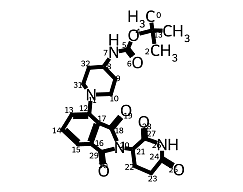 CC(C)(C)OC(=O)NC1CCN(c2cccc3c2C(=O)N(C2CCC(=O)NC2=O)C3=O)CC1